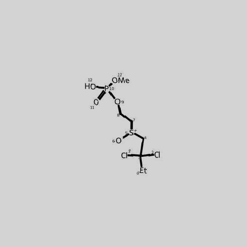 CCC(Cl)(Cl)C[S+]([O-])CCOP(=O)(O)OC